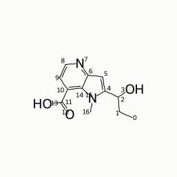 CCC(O)c1cc2nccc(C(=O)O)c2n1C